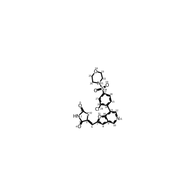 O=C1NC(=O)C(=Cc2cc3cncc(-c4ccc(S(=O)(=O)N5CCOCC5)cc4Cl)c3o2)S1